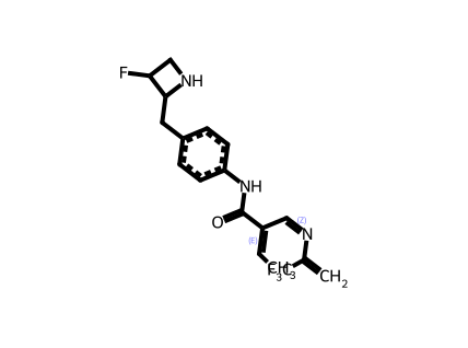 C=C(/N=C\C(=C/C)C(=O)Nc1ccc(CC2NCC2F)cc1)C(F)(F)F